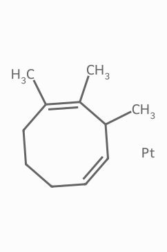 CC1=C(C)C(C)C=CCCC1.[Pt]